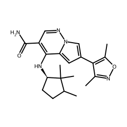 Cc1noc(C)c1-c1cc2c(N[C@@H]3CCC(C)C3(C)C)c(C(N)=O)cnn2c1